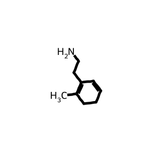 CC1=C(CCN)C=CCC1